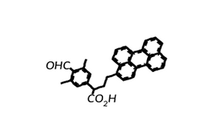 Cc1cc(C(CCc2ccc3c4cccc5cccc(c6cccc2c63)c54)C(=O)O)cc(C)c1C=O